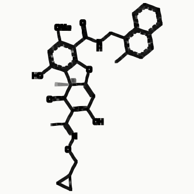 COc1cc(O)c2c(c1C(=O)NCc1c(C)ccc3ccccc13)OC1=CC(O)=C(C(C)=NOCC3CC3)C(=O)[C@]12C